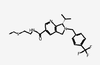 CCSCCNC(=O)c1cnc2c(c1)CN(Cc1ccc(C(F)(F)F)cc1)[C@H]2C(C)C